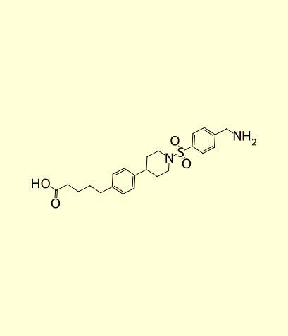 NCc1ccc(S(=O)(=O)N2CCC(c3ccc(CCCCC(=O)O)cc3)CC2)cc1